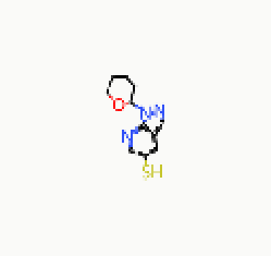 Sc1cnc2c(cnn2C2CCCCO2)c1